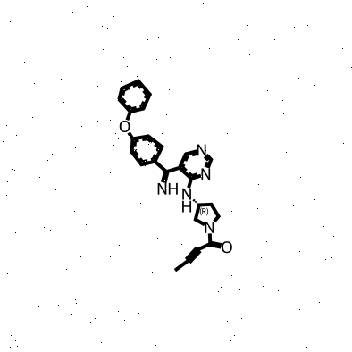 CC#CC(=O)N1CC[C@@H](Nc2ncncc2C(=N)c2ccc(Oc3ccccc3)cc2)C1